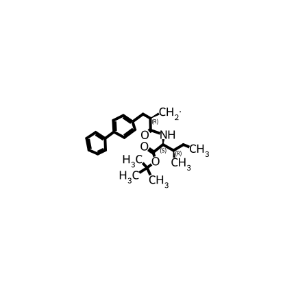 [CH2][C@H](Cc1ccc(-c2ccccc2)cc1)C(=O)N[C@H](C(=O)OC(C)(C)C)[C@H](C)CC